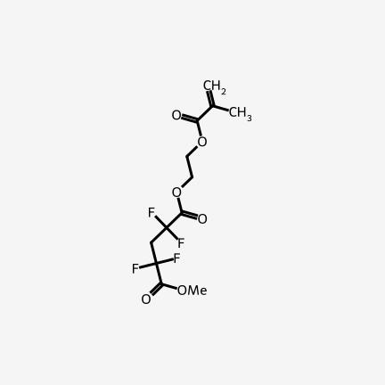 C=C(C)C(=O)OCCOC(=O)C(F)(F)CC(F)(F)C(=O)OC